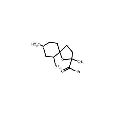 CCCC(=O)C1(C)CCC2(CCN(C(=O)O)CC2N)O1